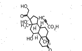 C#CC(=O)O.C[C@]12CCC(=O)C=C1CC[C@@H]1[C@@H]2[C@@H](O)C[C@@]2(C)[C@H]1CC[C@]2(O)C(=O)CO